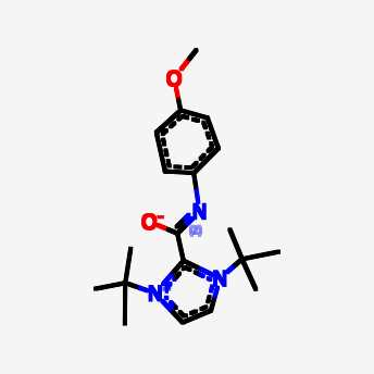 COc1ccc(/N=C(\[O-])c2n(C(C)(C)C)cc[n+]2C(C)(C)C)cc1